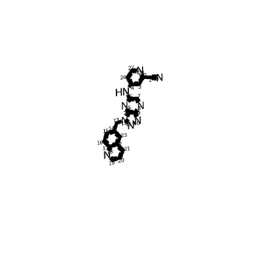 N#Cc1cc(Nc2cnc3nnn(Cc4ccc5ncccc5c4)c3n2)ccn1